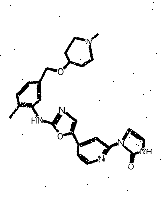 Cc1ccc(COC2CCN(C)CC2)cc1Nc1ncc(-c2ccnc(-n3cc[nH]c3=O)c2)o1